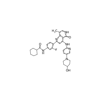 Cc1c[nH]c(=O)c2c(Nc3ccc(N4CCC(O)CC4)cn3)cc(-c3ccc(NC(=O)C4CCCCC4)cc3F)nc12